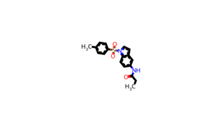 CCC(=O)Nc1ccc2c(ccn2S(=O)(=O)c2ccc(C)cc2)c1